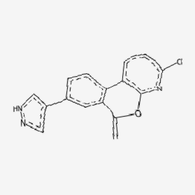 C=C1Oc2nc(Cl)ccc2-c2ccc(-c3cn[nH]c3)cc21